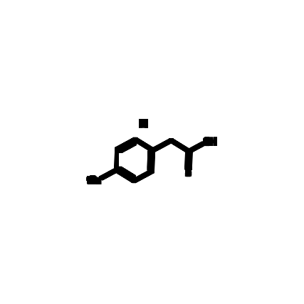 CC(C)(C)c1ccc(CC(O)=S)cc1.[Ni]